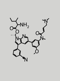 CCC(C)C(N)C(=O)O[C@@H](C)n1cc(-c2cccc(C#N)c2)c2cc(-c3cc(OC)cc(N(C)C(=O)/C=C/CN(C)C)c3)cnc21